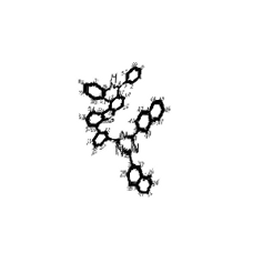 c1ccc(C2Nc3ccccc3-c3c2ccc2sc4c(-c5cccc(-c6nc(-c7ccc8ccccc8c7)nc(-c7ccc8ccccc8c7)n6)c5)cccc4c32)cc1